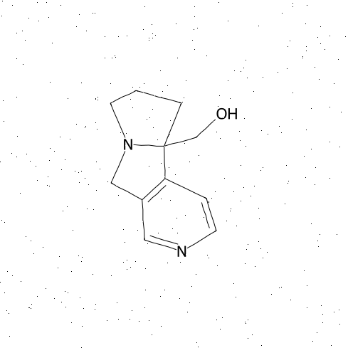 OCC12CCCN1Cc1cnccc12